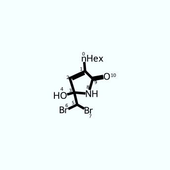 CCCCCCC1=CC(O)(C(Br)Br)NC1=O